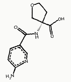 Nc1ccc(C(=O)N[C@@]2(C(=O)O)CCOC2)cn1